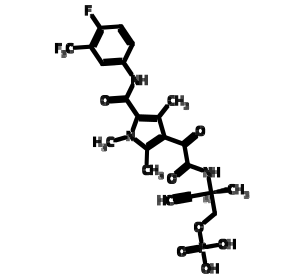 C#C[C@@](C)(COP(=O)(O)O)NC(=O)C(=O)c1c(C)c(C(=O)Nc2ccc(F)c(C(F)(F)F)c2)n(C)c1C